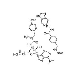 CNNCc1ccc(C(=O)NC(C)C)cc1.COc1ccc(C[C@H](N)C(=O)N[C@H]2[C@@H](O)[C@H](n3cnc4c(N(C)C)ncnc43)O[C@@H]2CO)cc1.Cl.Cl.c1ncc2[nH]cnc2n1